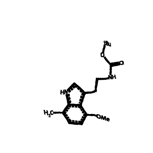 COc1ccc(C)c2[nH]cc(CCNC(=O)OC(C)(C)C)c12